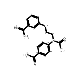 N=C(N)c1cccc(OCCN(C(=O)C(F)(F)F)c2ccc(C(N)=O)cc2)c1